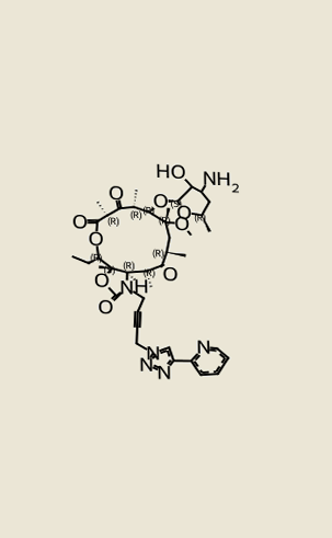 CC[C@H]1OC(=O)[C@H](C)C(=O)[C@H](C)[C@@H](O[C@@H]2O[C@H](C)CC(N)C2O)[C@](C)(OC)C[C@@H](C)C(=O)[C@H](C)[C@H]2N(CC#CCn3cc(-c4ccccn4)nn3)C(=O)O[C@]12C